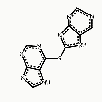 c1ncc2[nH]c(Sc3ncnc4nc[nH]c34)nc2n1